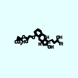 CC[C@H](O)CC[C@@H]1[C@H]2Cc3cccc(OCC(=O)OC4(C(=O)O)CC4)c3C[C@H]2C[C@H]1O